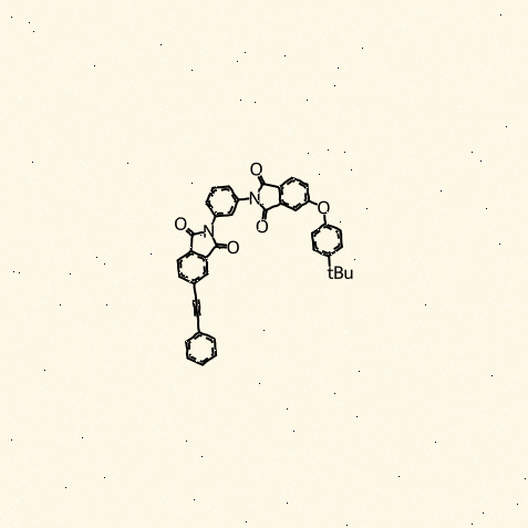 CC(C)(C)c1ccc(Oc2ccc3c(c2)C(=O)N(c2cccc(N4C(=O)c5ccc(C#Cc6ccccc6)cc5C4=O)c2)C3=O)cc1